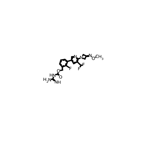 CON=C1CN(c2ncc(-c3cccc(COC(=O)NC(=N)N)c3F)cc2C(F)F)C1